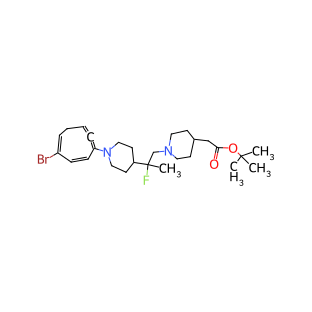 CC(C)(C)OC(=O)CC1CCN(CC(C)(F)C2CCN(C3=C=CC/C=C(Br)\C=C/3)CC2)CC1